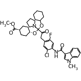 COC(=O)[C@H]1CC[C@H](OC(OC2CCCCC2)(C(=O)Cc2cc(Cl)c(NC(=O)c3cn(C)c4ccccc34)cc2F)N2CCCC2)CC1